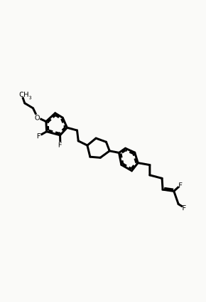 CCCOc1ccc(CCC2CCC(c3ccc(CCC/C=C(\F)CF)cc3)CC2)c(F)c1F